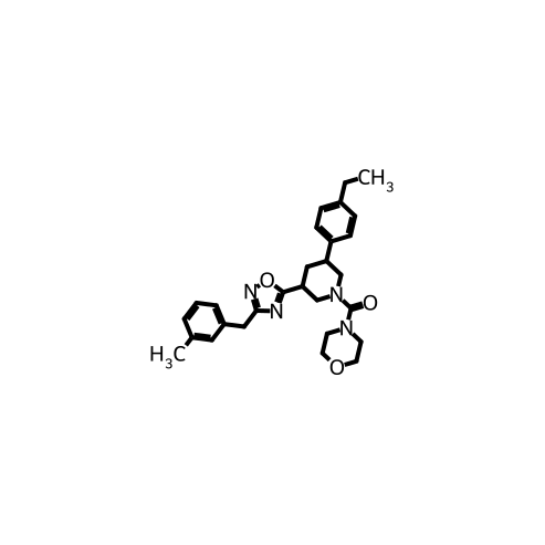 CCc1ccc(C2CC(c3nc(Cc4cccc(C)c4)no3)CN(C(=O)N3CCOCC3)C2)cc1